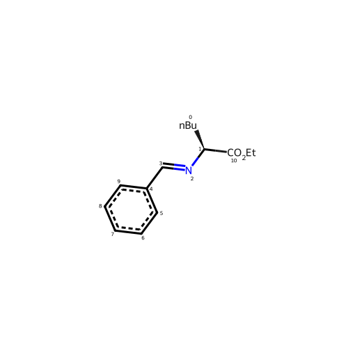 CCCC[C@H](N=Cc1ccccc1)C(=O)OCC